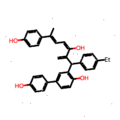 C=C(/C(O)=C\C=C(/C)c1ccc(O)cc1)C(c1ccc(CC)cc1)c1cc(-c2ccc(O)cc2)ccc1O